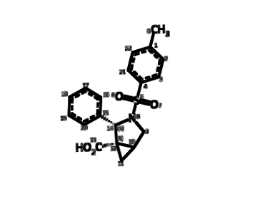 Cc1ccc(S(=O)(=O)N2CC3C[C@@]3(C(=O)O)[C@@H]2c2ccccc2)cc1